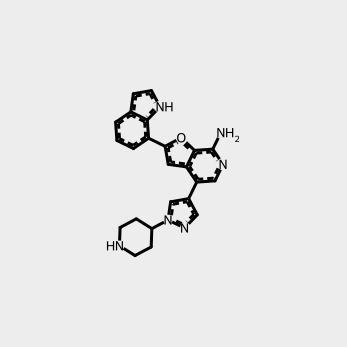 Nc1ncc(-c2cnn(C3CCNCC3)c2)c2cc(-c3cccc4cc[nH]c34)oc12